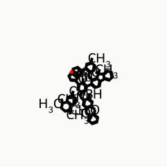 Cc1ccc(Nc2c(-c3c4c(cc5c3oc3ccccc35)N(c3cc5c(cc3C)C(C)(C)CCC5(C)C)c3cc5c(cc3B4)Oc3ccccc3O5)ccc3c2C(C)(C)c2ccccc2-3)c(-c2ccccc2)c1